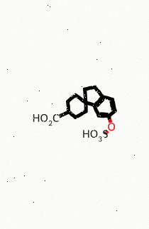 O=C(O)C1CCC2(CCc3ccc(OS(=O)(=O)O)cc32)CC1